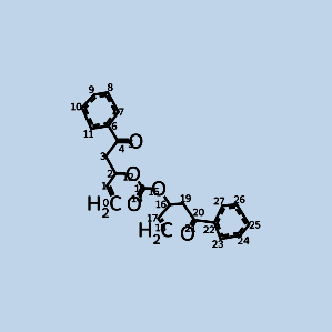 C=CC(CC(=O)c1ccccc1)OC(=O)OC(C=C)CC(=O)c1ccccc1